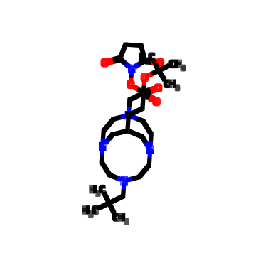 CC(C)(C)CN1CCN2CCN(CC(=O)OC(C)(C)C)CCN(CC1)CC(CCC(=O)ON1C(=O)CCC1=O)C2